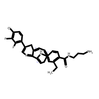 CCc1cc(N/C2=C\C/C=C\C=C3\CC(c4ccc(Cl)c(F)c4F)=CN=C32)ccc1C(=O)NCCCN